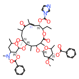 CCC1OC(=O)C(C)C(O[C@H]2C[C@@](C)(OC)[C@@H](OC(=O)c3ccccc3)C(C)O2)C(C)[C@@H](OC2OC(C)CC(N(C)C)[C@H]2OC(=O)c2ccccc2)[C@@](C)(OC)CC(C)C(=O)/C(C)=C/[C@@H]1OC(=O)n1ccnc1